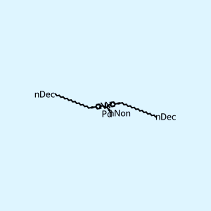 CCCCCCCCCC#CC(C=Nc1ccc(C#CCCCCCCCCCCCCCCCCCCCCCCCCCCCC)cc1)=Nc1ccc(C#CCCCCCCCCCCCCCCCCCCCCCCCCCCCC)cc1.[Pd]